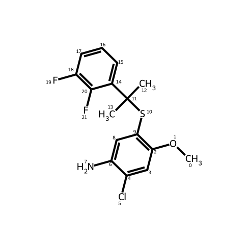 COc1cc(Cl)c(N)cc1SC(C)(C)c1cccc(F)c1F